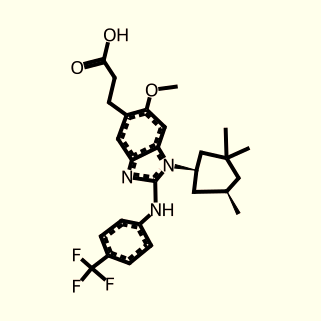 COc1cc2c(cc1CCC(=O)O)nc(Nc1ccc(C(F)(F)F)cc1)n2[C@@H]1C[C@H](C)CC(C)(C)C1